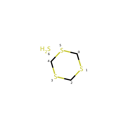 C1SCSCS1.S